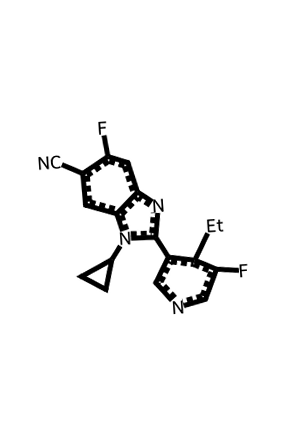 CCc1c(F)cncc1-c1nc2cc(F)c(C#N)cc2n1C1CC1